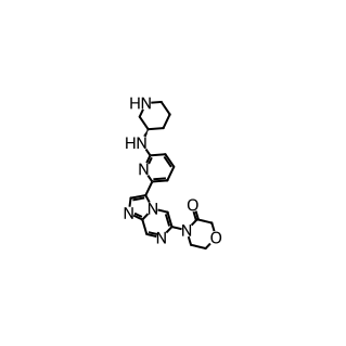 O=C1COCCN1c1cn2c(-c3cccc(N[C@@H]4CCCNC4)n3)cnc2cn1